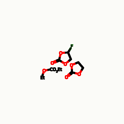 CCOC(=O)OCC.O=C1OCC(F)O1.O=C1OCCO1